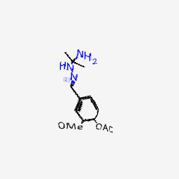 COc1cc(/C=N/NC(C)(C)N)ccc1OC(C)=O